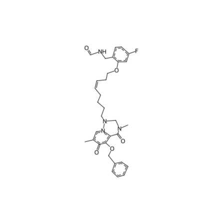 Cc1cn2c(c(OCc3ccccc3)c1=O)C(=O)N(C)CN2CCCC/C=C\CCOc1cc(F)ccc1CNC=O